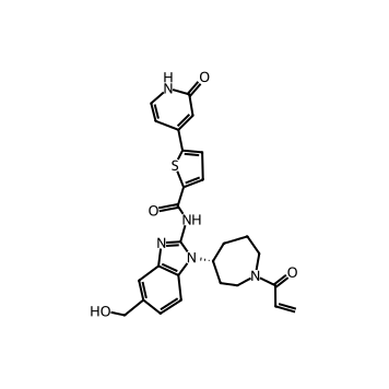 C=CC(=O)N1CCC[C@@H](n2c(NC(=O)c3ccc(-c4cc[nH]c(=O)c4)s3)nc3cc(CO)ccc32)CC1